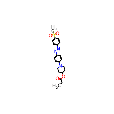 C=CC(=O)OC1CCN(c2ccc(/N=N/c3ccc(S(C)(=O)=O)cc3)cc2)CC1